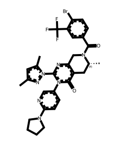 Cc1cc(C)n(-c2nc3c(c(=O)n2-c2ccc(N4CCCC4)nc2)C[C@@H](C)N(C(=O)c2ccc(Br)c(C(F)(F)F)c2)C3)n1